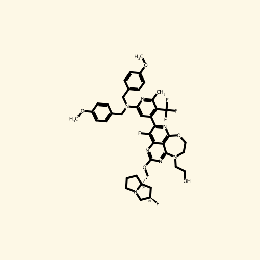 COc1ccc(CN(Cc2ccc(OC)cc2)c2cc(-c3nc4c5c(nc(OC[C@@]67CCCN6C[C@H](F)C7)nc5c3F)N(CCO)CCO4)c(C(F)(F)F)c(C)n2)cc1